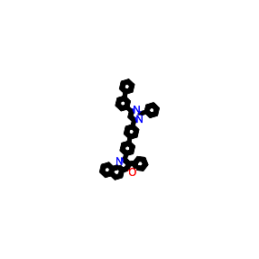 c1ccc(-c2cccc(-c3cc(-c4ccc(-c5ccc(-c6nc7c8ccccc8ccc7c7oc8ccccc8c67)cc5)cc4)nc(-c4ccccc4)n3)c2)cc1